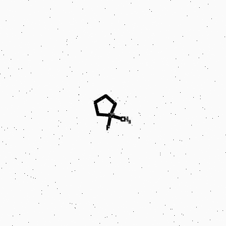 C[N+]1(F)CCCC1